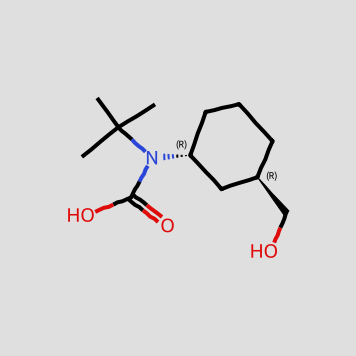 CC(C)(C)N(C(=O)O)[C@@H]1CCC[C@@H](CO)C1